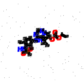 CCOC(=O)Oc1cn2ncnc(Nc3ccc(C)c(NS(C)(=O)=O)c3)c2c1CC